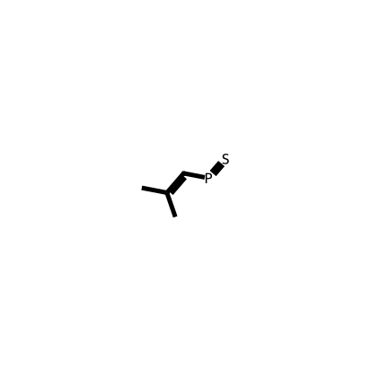 CC(C)=CP=S